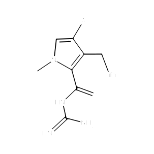 CC(=O)c1cn(C)c(C(=O)NC(=N)N)c1CC(C)C